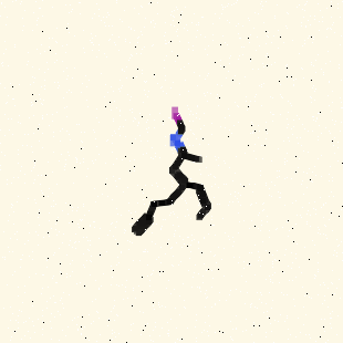 C#CCCC(/C=C\C)=C/C(C)=N/CI